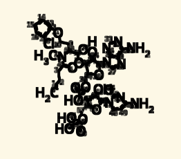 C=CCCC(=O)N(C)[C@@H](CCOc1ccccc1Cl)C(=O)O[C@H]1[C@@H](O)[C@H](n2cnc3c(N)ncnc32)O[C@@H]1COP(=O)(O)[C@H]1[C@@H](O)[C@H](n2ccc(N)nc2=O)O[C@@H]1COP(=O)(O)O